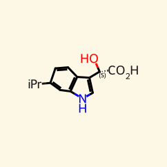 CC(C)c1ccc2c([C@H](O)C(=O)O)c[nH]c2c1